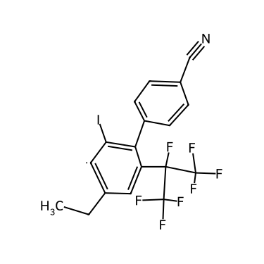 CCc1[c]c(I)c(-c2ccc(C#N)cc2)c(C(F)(C(F)(F)F)C(F)(F)F)c1